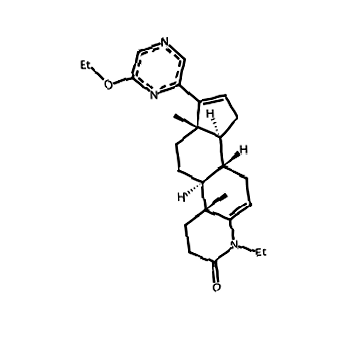 CCOc1cncc(C2=CC[C@H]3[C@@H]4CC=C5N(CC)C(=O)CC[C@]5(C)[C@H]4CC[C@]23C)n1